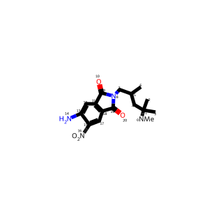 CNC(C)(C)CC(C)CN1C(=O)c2cc(N)c([N+](=O)[O-])cc2C1=O